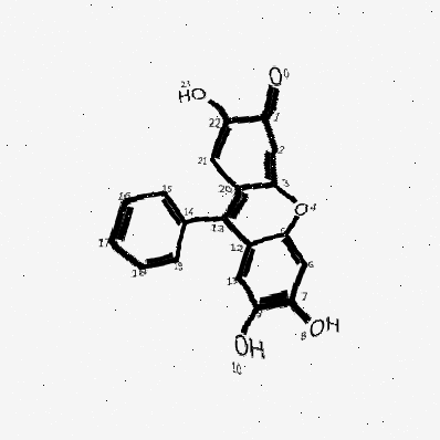 O=c1cc2oc3cc(O)c(O)cc3c(-c3ccccc3)c-2cc1O